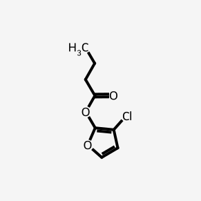 CCCC(=O)Oc1occc1Cl